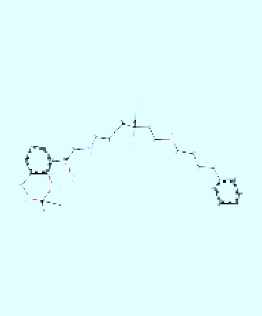 CC1(C)OCc2cccc([C@H](O)CNCCCC(F)(F)CCOCCCCc3ccccc3)c2O1